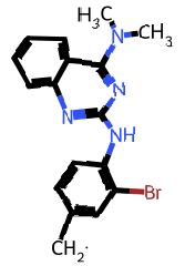 [CH2]c1ccc(Nc2nc(N(C)C)c3ccccc3n2)c(Br)c1